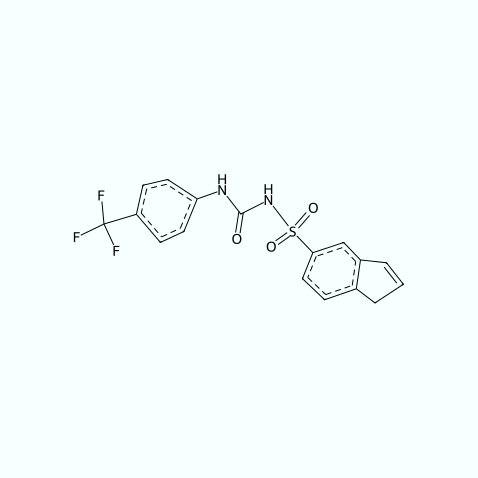 O=C(Nc1ccc(C(F)(F)F)cc1)NS(=O)(=O)c1ccc2c(c1)C=CC2